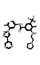 C=C(C)/C(=C\C(=C/C)NC(=O)c1cc(NCCN2CCCC2)c(F)c(C(F)(F)F)c1)n1cc(-c2cncnc2)nn1